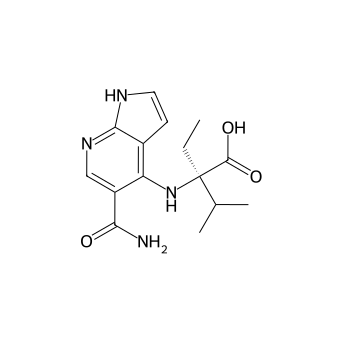 CC[C@](Nc1c(C(N)=O)cnc2[nH]ccc12)(C(=O)O)C(C)C